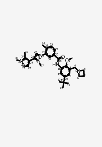 COc1c(CN2CCC2)cc(C(C)(C)C)cc1NC(=O)c1ccc(C)c(-n2cc(-c3cnn(C)c3C)n2C)c1